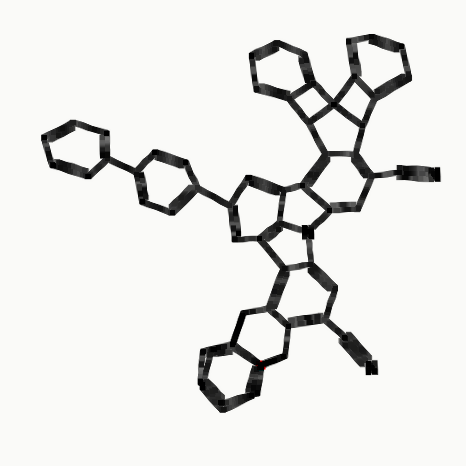 N#Cc1cc2c(c3c1C1c4ccccc4C3c3ccccc31)c1cc(-c3ccc(-c4ccccc4)cc3)cc3c4c5c(c(C#N)cc4n2c13)C1c2ccccc2C12c1ccccc1C52